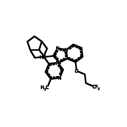 Cc1cc(N2CC3CCC(C2)C3Nc2nc3c(OCCC(F)(F)F)cccn3n2)ncn1